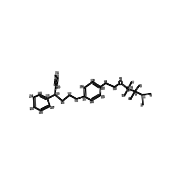 CC(C)C(C)(C)[Si](C)(C)OCCc1ccc(CCCC(C#N)c2ccccc2)cc1